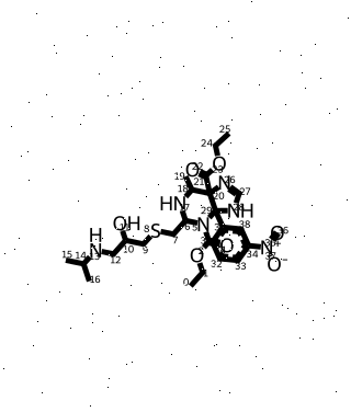 CCOC(=O)N1C(CSCC(O)CNC(C)C)NC(C)C2(C(=O)OCC)N=CNC12c1cccc([N+](=O)[O-])c1